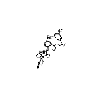 C#CCNC(=O)C(=O)NCc1ccccc1C(=O)CCC1(c2cc(F)cc(Br)c2)CC1